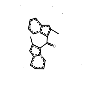 Cc1cc2ccccn2c1C(=O)c1c(C)cc2ccccn12